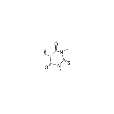 C=CC1C(=O)N(C)C(=S)N(C)C1=O